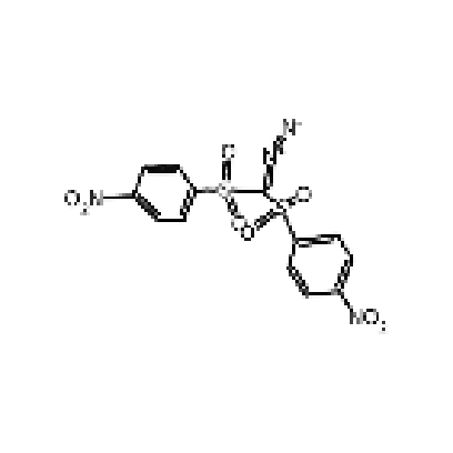 [N-]=[N+]=C(S(=O)(=O)c1ccc([N+](=O)[O-])cc1)S(=O)(=O)c1ccc([N+](=O)[O-])cc1